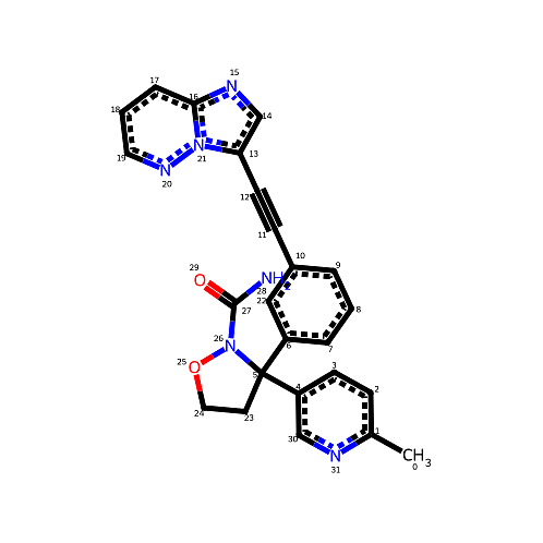 Cc1ccc(C2(c3cccc(C#Cc4cnc5cccnn45)c3)CCON2C(N)=O)cn1